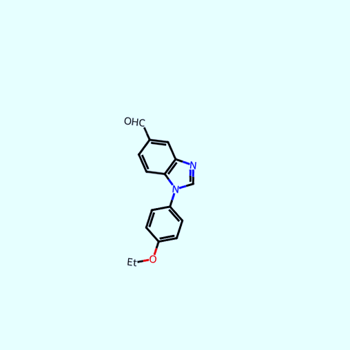 CCOc1ccc(-n2cnc3cc(C=O)ccc32)cc1